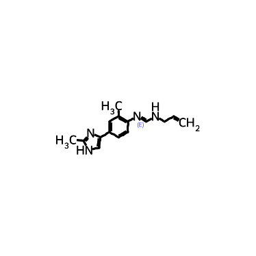 C=CCN/C=N/c1ccc(-c2c[nH]c(C)n2)cc1C